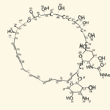 CNC(=O)NC1[C@@H]2C[C@@H](OC3OC(C)C(O)C(N)C3O)/C=C/C=C/C=C/C=C/C=C/C=C/C=C/[C@H](C)[C@@H](O)[C@@H](C)[C@H](C)OC(=O)C[C@H](O)C[C@H](O)CC[C@@H](O)[C@H](O)C[C@H](O)C[C@](O)(C[C@@H]1O)O2